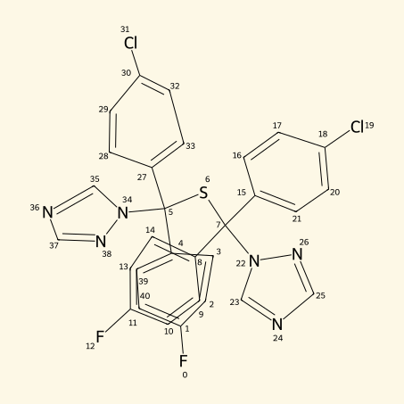 Fc1ccc(C(SC(c2ccc(F)cc2)(c2ccc(Cl)cc2)n2cncn2)(c2ccc(Cl)cc2)n2cncn2)cc1